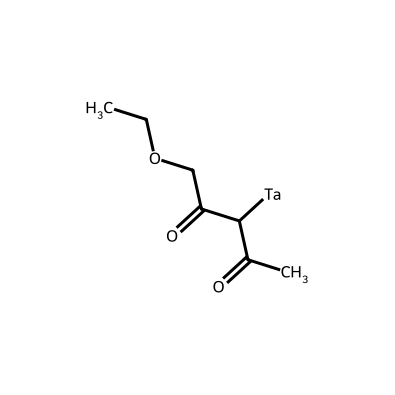 CCOCC(=O)[CH]([Ta])C(C)=O